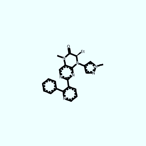 CC[C@@H]1C(=O)N(C)c2cnc(-c3cccnc3-c3ccccc3)nc2N1c1cnn(C)c1